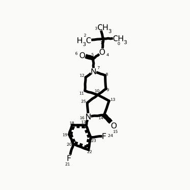 CC(C)(C)OC(=O)N1CCC2(CC1)CC(=O)N(c1ccc(F)cc1F)C2